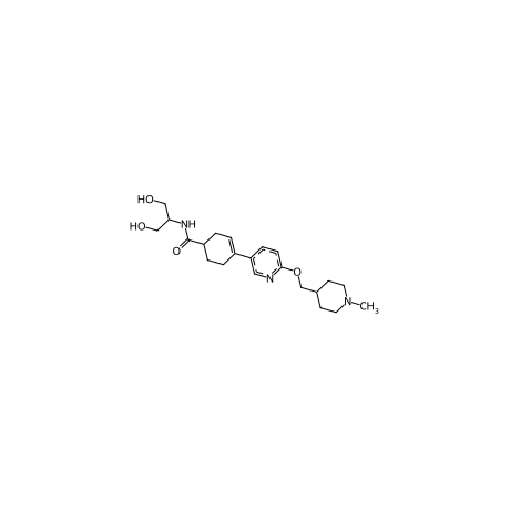 CN1CCC(COc2ccc(C3=CCC(C(=O)NC(CO)CO)CC3)cn2)CC1